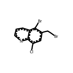 Clc1cc(CBr)c(Br)c2cccnc12